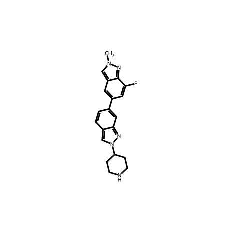 Cn1cc2cc(-c3ccc4cn(C5CCNCC5)nc4c3)cc(F)c2n1